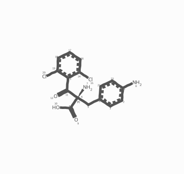 Nc1ccc(C[C@](N)(C(=O)O)C(=O)c2c(Cl)cccc2Cl)cc1